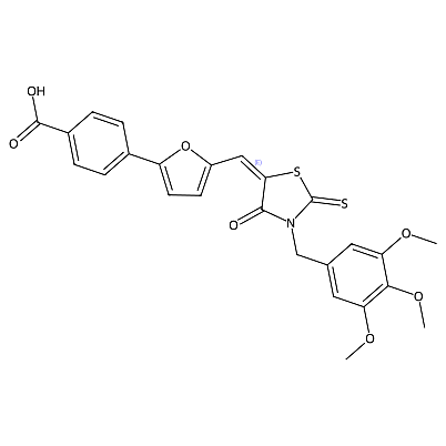 COc1cc(CN2C(=O)/C(=C\c3ccc(-c4ccc(C(=O)O)cc4)o3)SC2=S)cc(OC)c1OC